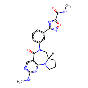 CNC(=O)c1nc(-c2cccc(N3C[C@@H]4CCCN4c4nc(NC)ncc4C3=O)c2)no1